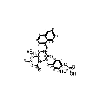 CC(=O)N1[C@H]2CN(Cc3cccc4ccccc34)C(=O)[C@H](Cc3ccc(OP(=O)(O)O)cc3)N2C(=O)CN1C